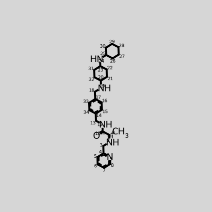 C[C@H](NCc1ccccn1)C(=O)NCc1ccc(CNC2CCC(NC3CCCCC3)CC2)cc1